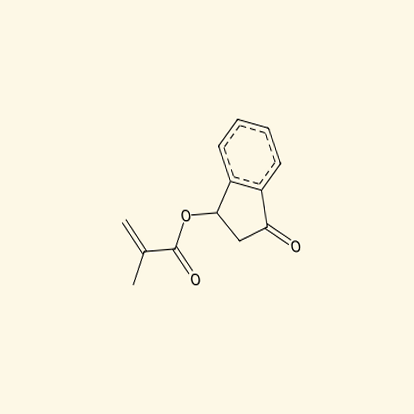 C=C(C)C(=O)OC1CC(=O)c2ccccc21